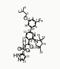 CC(C)COc1cc(F)cc(-c2ccc(C(=O)NS(=O)(=O)c3ccn[nH]3)c(N3C[C@H](C)CC3(C)C)n2)c1